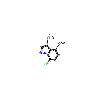 COc1ccc(Cl)c2[nH]cc(C=O)c12